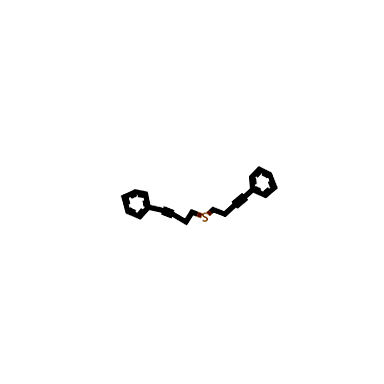 C(#Cc1ccccc1)CCSCCC#Cc1ccccc1